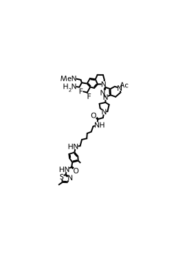 CNCC(CN)c1cc2c(cc1C(F)F)N(c1nn(C3CCN(CC(=O)NCCCCCCNc4ccc(C(=O)Nc5ncc(C)s5)c(C)c4)CC3)c3c1CN(C(C)=O)CC3)CCC2